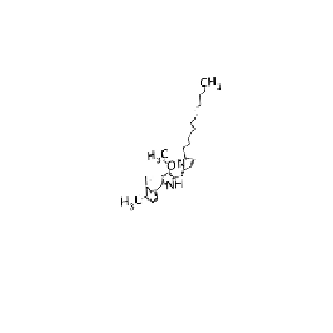 CCCCCCCCCCCC1=NC(=Cc2[nH]c(-c3ccc(C)[nH]3)cc2OCC)C=C1